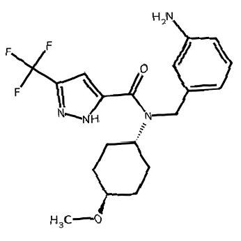 CO[C@H]1CC[C@H](N(Cc2cccc(N)c2)C(=O)c2cc(C(F)(F)F)n[nH]2)CC1